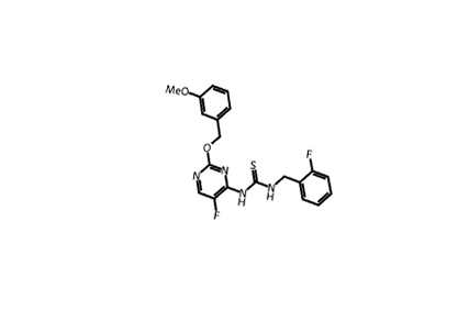 COc1cccc(COc2ncc(F)c(NC(=S)NCc3ccccc3F)n2)c1